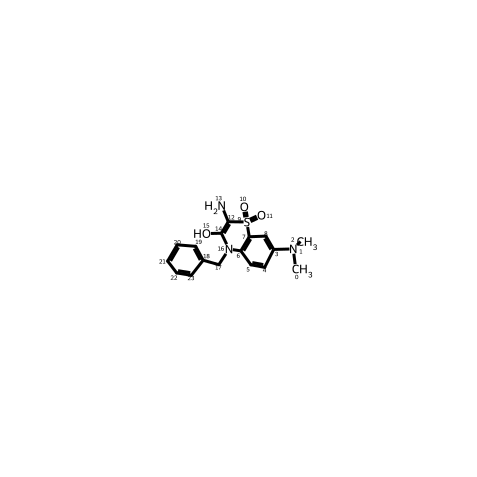 CN(C)c1ccc2c(c1)S(=O)(=O)C(N)=C(O)N2Cc1ccccc1